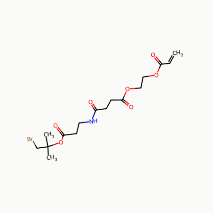 C=CC(=O)OCCOC(=O)CCC(=O)NCCC(=O)OC(C)(C)CBr